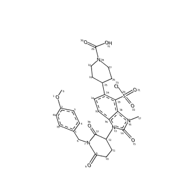 COc1ccc(CN2C(=O)CCC(n3c(=O)n(C)c4c(S(=O)(=O)Cl)c(C5CCN(C(=O)O)CC5)ccc43)C2=O)cc1